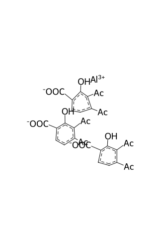 CC(=O)c1ccc(C(=O)[O-])c(O)c1C(C)=O.CC(=O)c1ccc(C(=O)[O-])c(O)c1C(C)=O.CC(=O)c1ccc(C(=O)[O-])c(O)c1C(C)=O.[Al+3]